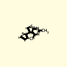 Cc1nc(Cl)c2c(-c3cccs3)csc2n1